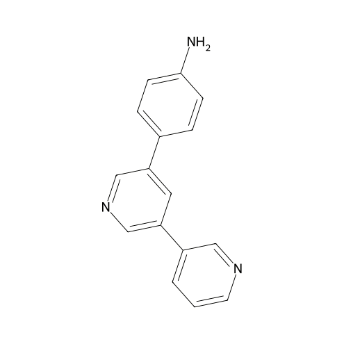 Nc1ccc(-c2cncc(-c3cccnc3)c2)cc1